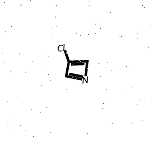 ClC1=CN=C1